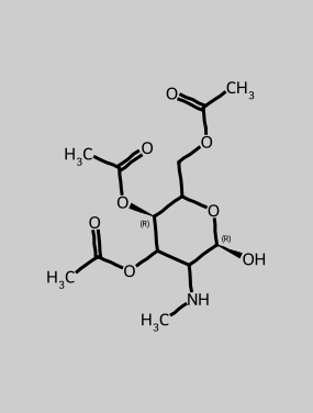 CNC1C(OC(C)=O)[C@@H](OC(C)=O)C(COC(C)=O)O[C@H]1O